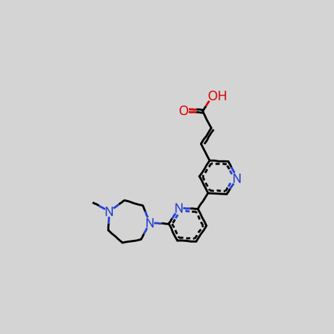 CN1CCCN(c2cccc(-c3cncc(/C=C/C(=O)O)c3)n2)CC1